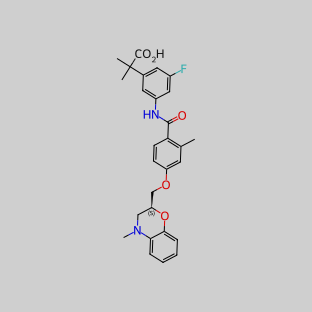 Cc1cc(OC[C@@H]2CN(C)c3ccccc3O2)ccc1C(=O)Nc1cc(F)cc(C(C)(C)C(=O)O)c1